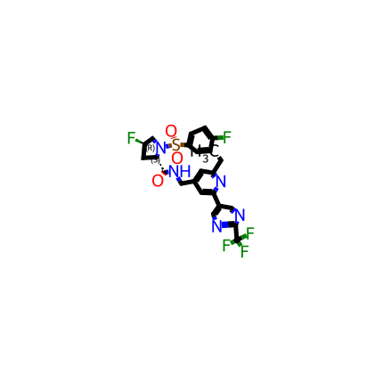 CCc1cc(CNC(=O)[C@@H]2C[C@@H](F)CN2S(=O)(=O)c2ccc(F)cc2)cc(-c2cnc(C(F)(F)F)nc2)n1